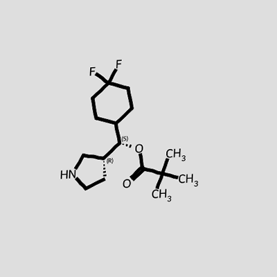 CC(C)(C)C(=O)O[C@@H](C1CCC(F)(F)CC1)[C@@H]1CCNC1